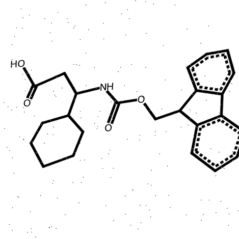 O=C(O)CC(NC(=O)OCC1c2ccccc2-c2ccccc21)C1CCCCC1